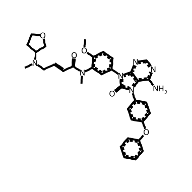 COc1ccc(-n2c(=O)n(-c3ccc(Oc4ccccc4)cc3)c3c(N)ncnc32)cc1N(C)C(=O)C=CCN(C)[C@H]1CCOC1